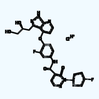 O=C(Nc1ccc(Oc2ccnc3[nH]nc(C[C@H](O)CO)c23)c(F)c1)c1ccnn(-c2ccc(F)cc2)c1=O.[Cl-].[H+]